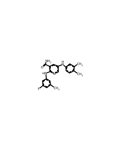 Cc1cc(F)cc(Nc2ncc(Nc3ccc(C)c(C)c3)cc2C(N)=O)c1